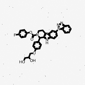 O=C(Oc1ccc(F)cc1)N1CCc2c([nH]c3ccc(-n4nnc5ccccc54)cc23)C1c1ccc(OCC(O)CO)cc1